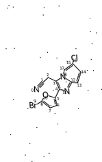 N#CCc1c(-c2ccc(Br)o2)nc2ccc(Cl)cn12